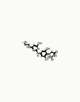 CCc1cc(Nc2nc(O)cc(NCCC(C)C)n2)cc(O)c1N1CC(=O)NS1(=O)=O